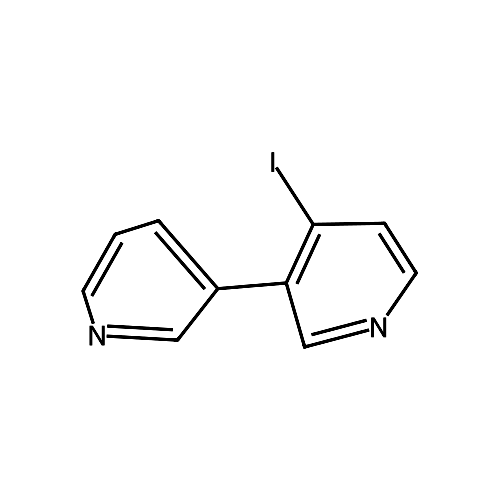 Ic1ccncc1-c1cccnc1